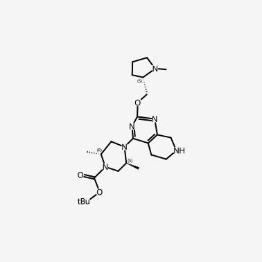 C[C@@H]1CN(c2nc(OC[C@@H]3CCCN3C)nc3c2CCNC3)[C@@H](C)CN1C(=O)OC(C)(C)C